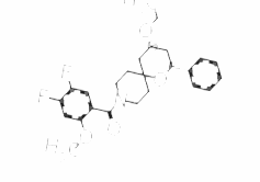 CCO[C@@H]1C[C@H](c2ccccc2)OC2(CCN(C(=O)c3cc(F)c(F)cc3OC)CC2)C1